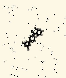 Cc1cc(N2CCN(C(=O)c3ccccc3I)CCO2)nc(C)n1